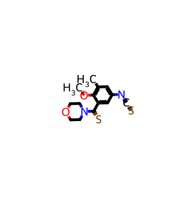 COc1c(C)cc(N=C=S)cc1C(=S)N1CCOCC1